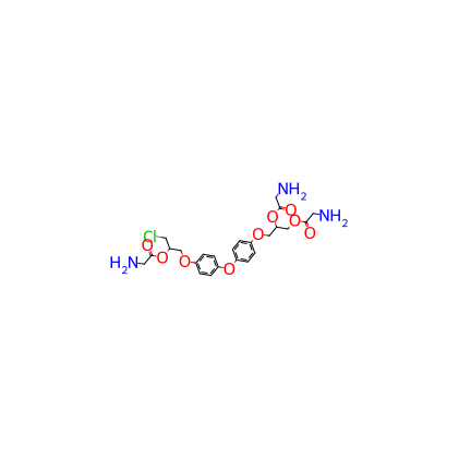 NCC(=O)OCC(COc1ccc(Oc2ccc(OCC(CCl)OC(=O)CN)cc2)cc1)OC(=O)CN